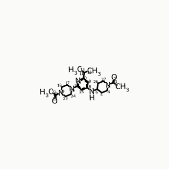 CC(=O)N1CCC(Nc2cc(C(C)C)nc(N3CCN(C(C)=O)CC3)c2)CC1